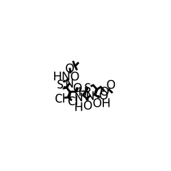 CC(=O)OCC1=C(C(=O)O)N2C(=O)C(NC(=O)C(=C(Cl)Cl)c3csc(NC(=O)OC(C)(C)C)n3)[C@@H]2SC1